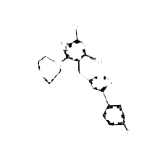 Nc1nc(N)c(Cc2cc(-c3ccc(F)cc3)no2)c(N2CCOCC2)n1